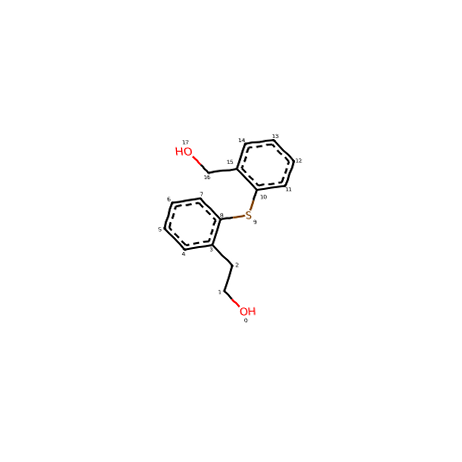 OCCc1ccccc1Sc1ccccc1CO